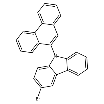 Brc1ccc2c(c1)c1ccccc1n2-c1cc2ccccc2c2ccccc12